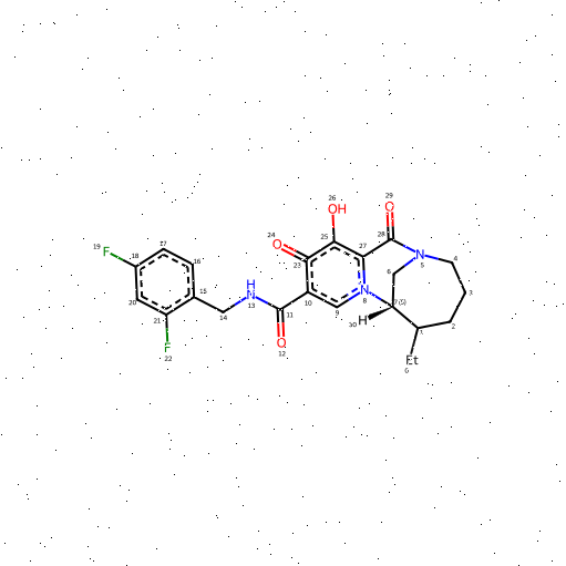 CCC1CCCN2C[C@H]1n1cc(C(=O)NCc3ccc(F)cc3F)c(=O)c(O)c1C2=O